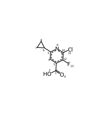 O=C(O)c1cc(C2CC2)nc(Cl)c1F